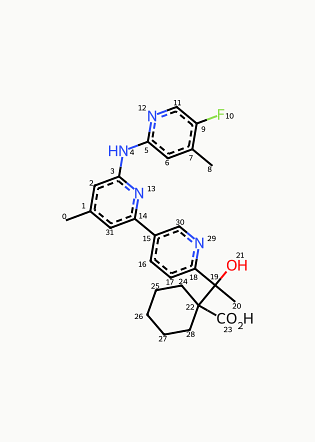 Cc1cc(Nc2cc(C)c(F)cn2)nc(-c2ccc(C(C)(O)C3(C(=O)O)CCCCC3)nc2)c1